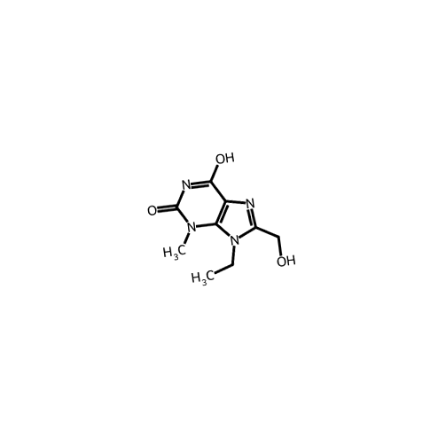 CCn1c(CO)nc2c(O)nc(=O)n(C)c21